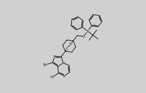 CC(C)(C)[Si](OCC12CCC(c3nc(Br)c4c(Cl)nccn34)(CC1)CO2)(c1ccccc1)c1ccccc1